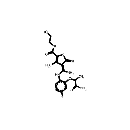 CC1=C(C(=O)NCCO)SC(=N)/C1=C(\N)Nc1ccc(F)cc1OC(C)C(N)=O